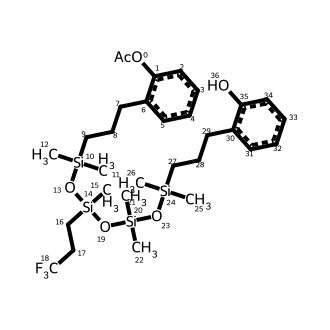 CC(=O)Oc1ccccc1CCC[Si](C)(C)O[Si](C)(CCC(F)(F)F)O[Si](C)(C)O[Si](C)(C)CCCc1ccccc1O